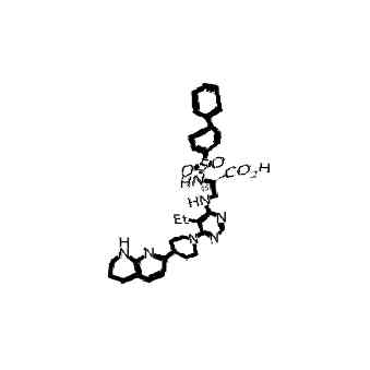 CCc1c(NC[C@H](NS(=O)(=O)c2ccc(-c3ccccc3)cc2)C(=O)O)ncnc1N1CCC(c2ccc3c(n2)NCCC3)CC1